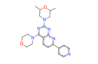 CC1CN(c2nc(N3CCOCC3)c3ccc(-c4ccncc4)nc3n2)CC(C)O1